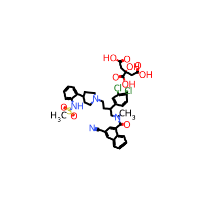 CN(CC(CCN1CCC(c2ccccc2NS(C)(=O)=O)CC1)c1ccc(Cl)c(Cl)c1)C(=O)c1cc(C#N)cc2ccccc12.O=C(O)CC(O)(CC(=O)O)C(=O)O